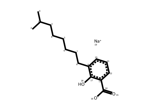 CC(C)CCCCCCc1cccc(C(=O)[O-])c1O.[Na+]